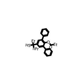 CCCC(S)(CC)c1cc(-c2ccccc2)c(OC(=O)CC)c(-c2ccccc2)c1